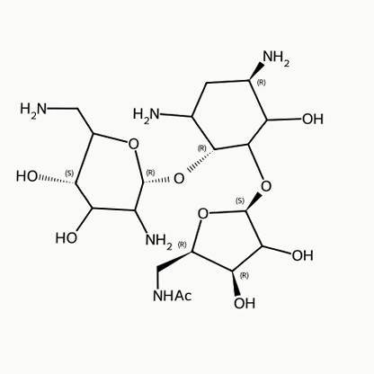 CC(=O)NC[C@H]1O[C@@H](OC2C(O)[C@H](N)CC(N)[C@H]2O[C@H]2OC(CN)[C@@H](O)C(O)C2N)C(O)[C@H]1O